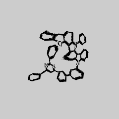 c1ccc(-c2cc(-c3cccc(-c4cccc(-n5c6ccccc6c6c5ccc5c7c8oc9ccccc9c8ccc7n(-c7ccccc7)c56)c4)c3)nc(-c3ccccc3)n2)cc1